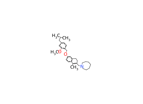 COc1cc(CC(C)C)ccc1COc1ccc2c(c1)CCC(CN1CCCCCCC1)=C2C